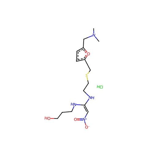 CN(C)Cc1ccc(CSCCNC(=C[N+](=O)[O-])NCCCO)o1.Cl